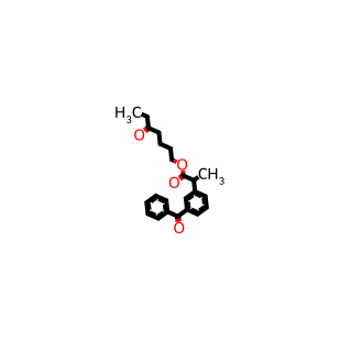 CCC(=O)CCCCOC(=O)C(C)c1cccc(C(=O)c2ccccc2)c1